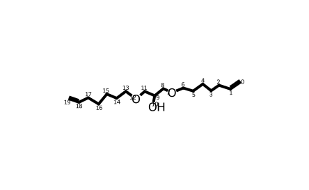 C=CCCCCCOCC(O)COCCCCCC=C